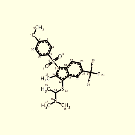 COc1ccc(S(=O)(=O)n2c(C)c(SC(C)N(C)C)c3cc(C(F)(F)F)ccc32)cc1